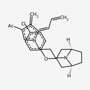 C=C/C=c1\c(=C)c(C(C)=O)cn1CCCN1[C@@H]2CC[C@H]1CC(Oc1ccc(Cl)cc1)C2